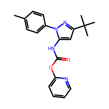 Cc1ccc(-n2nc(C(C)(C)C)cc2NC(=O)Oc2ccccn2)cc1